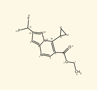 CCOC(=O)c1cnc2cc(C(F)F)nn2c1C1CC1